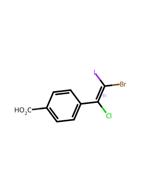 O=C(O)c1ccc(/C(Cl)=C(/Br)I)cc1